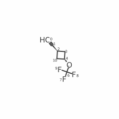 C#C[C@H]1C[C@@H](OC(F)(F)F)C1